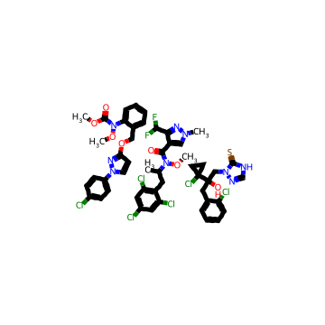 COC(=O)N(OC)c1ccccc1COc1ccn(-c2ccc(Cl)cc2)n1.CON(C(=O)c1cn(C)nc1C(F)F)C(C)Cc1c(Cl)cc(Cl)cc1Cl.OC(Cc1ccccc1Cl)(Cn1nc[nH]c1=S)C1(Cl)CC1